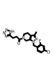 Cc1nn(Cc2ccc(Cl)cc2F)c2c1CCN(C(=O)CCc1nnn[nH]1)C2